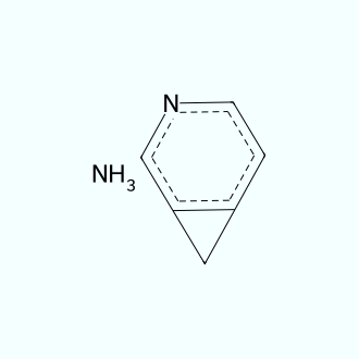 N.c1cc2c(cn1)C2